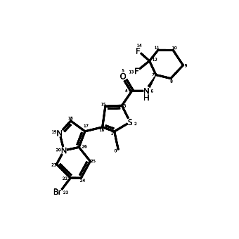 Cc1sc(C(=O)N[C@@H]2CCCCC2(F)F)cc1-c1cnn2cc(Br)ccc12